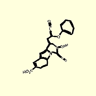 CON1C(=C=O)n2c(cc3cc(C(=O)O)ccc32)C1CC(=C=O)Oc1ccccc1